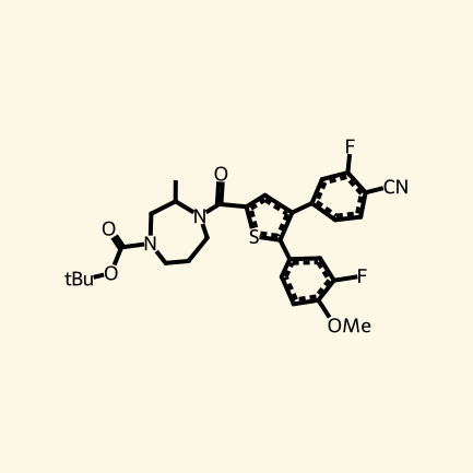 COc1ccc(-c2sc(C(=O)N3CCCN(C(=O)OC(C)(C)C)CC3C)cc2-c2ccc(C#N)c(F)c2)cc1F